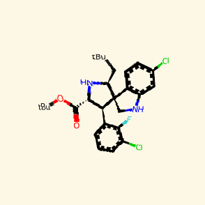 CC(C)(C)C[C@@H]1N[C@@H](C(=O)OC(C)(C)C)[C@H](c2cccc(Cl)c2F)[C@]12CNc1cc(Cl)ccc12